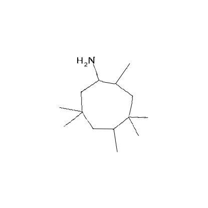 CC1CC(C)(C)C(C)CC(C)(C)CC1N